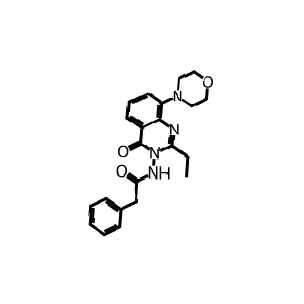 CCc1nc2c(N3CCOCC3)cccc2c(=O)n1NC(=O)Cc1ccccc1